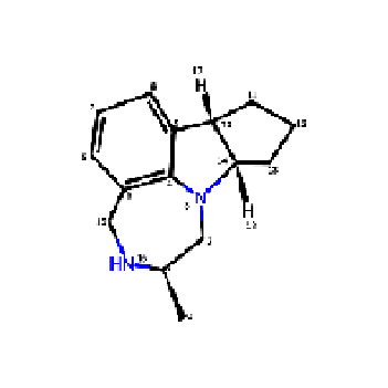 C[C@@H]1CN2c3c(cccc3[C@@H]3CCC[C@@H]32)CN1